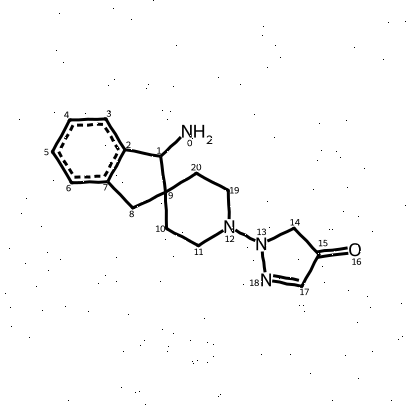 NC1c2ccccc2CC12CCN(N1CC(=O)C=N1)CC2